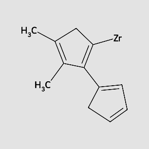 CC1=C(C)C(C2=CC=CC2)=[C]([Zr])C1